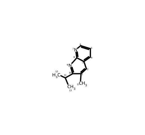 Cc1cc2cccnc2nc1C(C)C